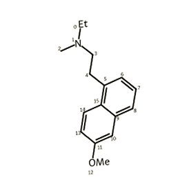 CCN(C)CCc1cccc2cc(OC)ccc12